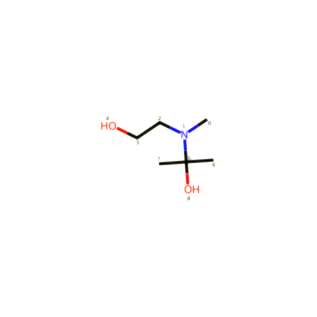 CN(CCO)C(C)(C)O